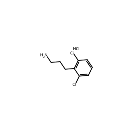 Cl.NCCCc1c(Cl)cccc1Cl